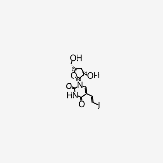 O=c1[nH]c(=O)n([C@@H]2O[C@H](CO)C[C@H]2O)cc1C=CI